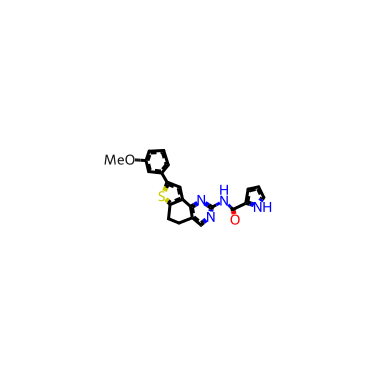 COc1cccc(-c2cc3c(s2)CCc2cnc(NC(=O)c4ccc[nH]4)nc2-3)c1